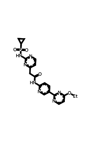 CCOc1ccnc(-c2ccc(NC(=O)Cc3ccnc(NS(=O)(=O)C4CC4)n3)nc2)n1